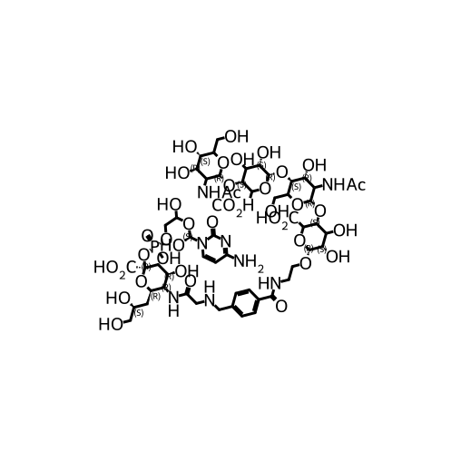 CC(=O)NC1[C@@H](O[C@@H]2C(C(=O)O)O[C@@H](O[C@@H]3C(CO)O[C@H](O[C@@H]4C(C(=O)O)O[C@@H](OCCNC(=O)c5ccc(CNCC(=O)N[C@@H]6[C@H](O)C[C@@](OP(=O)(O)OCC(O)O[C@H](O)n7ccc(N)nc7=O)(C(=O)O)O[C@@H]6C[C@H](O)CO)cc5)[C@@H](O)C4O)C(NC(C)=O)[C@H]3O)[C@@H](O)C2O)OC(CO)[C@@H](O)[C@@H]1O